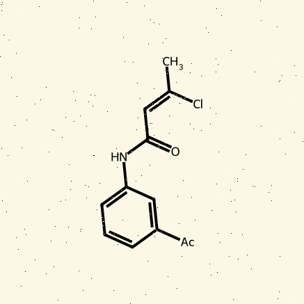 CC(=O)c1cccc(NC(=O)/C=C(/C)Cl)c1